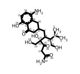 CN(C)[C@@H](CO)C(CC1CC(=O)c2c(O)ccc(N)c2C1)[C@](O)(CO)C(=O)CC(N)=O